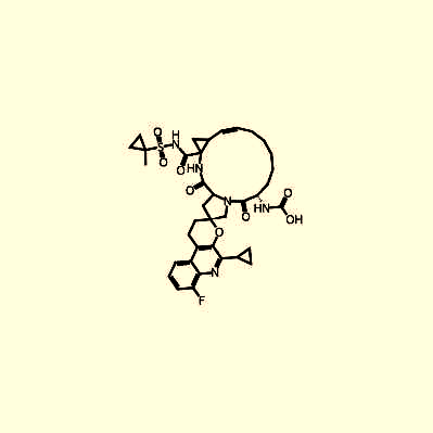 CC1(S(=O)(=O)NC(=O)C23CC2/C=C\CCCCC[C@H](NC(=O)O)C(=O)N2C[C@@]4(CCc5c(c(C6CC6)nc6c(F)cccc56)O4)CC2C(=O)N3)CC1